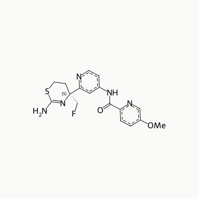 COc1ccc(C(=O)Nc2ccnc([C@]3(CF)CCSC(N)=N3)c2)nc1